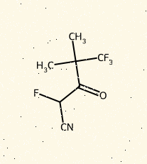 CC(C)(C(=O)C(F)C#N)C(F)(F)F